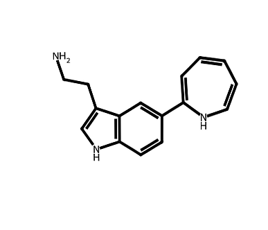 NCCc1c[nH]c2ccc(C3=CC=CC=CN3)cc12